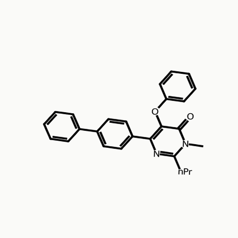 CCCc1nc(-c2ccc(-c3ccccc3)cc2)c(Oc2ccccc2)c(=O)n1C